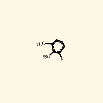 CCC(C)c1c(C)cccc1F